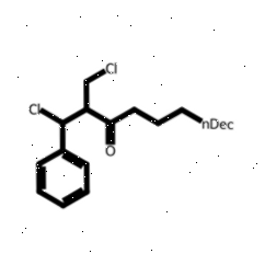 CCCCCCCCCCCCCC(=O)C(CCl)C(Cl)c1ccccc1